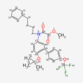 COC(=O)C(=O)N(CCCCc1ccccc1)c1ccc(OC(C)(C)C)c(-c2ccc(OC(F)(F)F)cc2)c1